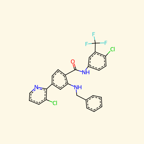 O=C(Nc1ccc(Cl)c(C(F)(F)F)c1)c1ccc(-c2ncccc2Cl)cc1NCc1ccccc1